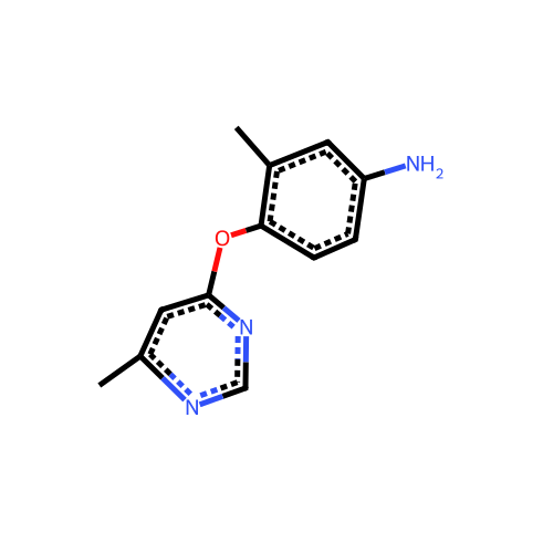 Cc1cc(Oc2ccc(N)cc2C)ncn1